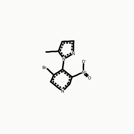 Cc1ccnn1-c1c(Br)cncc1[N+](=O)[O-]